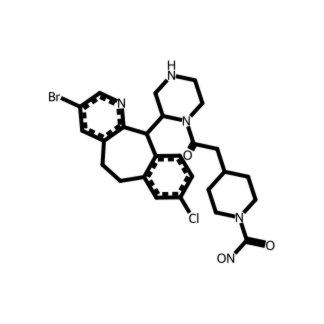 O=NC(=O)N1CCC(CC(=O)N2CCNCC2C2c3ccc(Cl)cc3CCc3cc(Br)cnc32)CC1